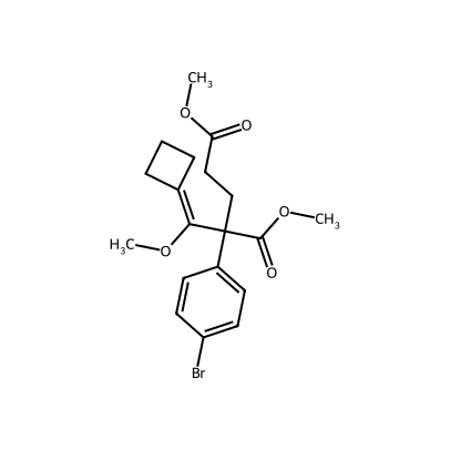 COC(=O)CCC(C(=O)OC)(C(OC)=C1CCC1)c1ccc(Br)cc1